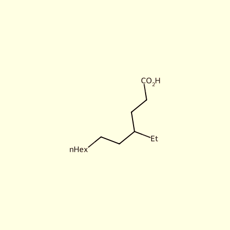 CCCCCCCCC(CC)CCC(=O)O